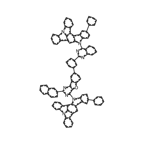 c1ccc(-c2ccc3c(c2)c2c4c5ccccc5n5c6ccccc6c(cc2n3-c2nc(-c3cccc(-c6ccc7oc8c(-n9c%10ccc(-c%11ccccc%11)cc%10c%10cc%11c%12ccccc%12n%12c%13ccccc%13c(c%109)c%11%12)nc(-c9ccc%10ccccc%10c9)nc8c7c6)c3)nc3ccccc23)c45)cc1